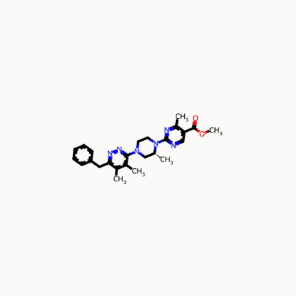 COC(=O)c1cnc(N2CCN(c3nnc(Cc4ccccc4)c(C)c3C)C[C@H]2C)nc1C